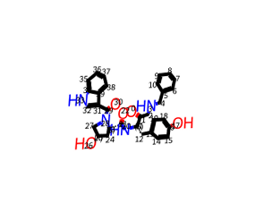 O=C(CNCc1ccccc1)[C@H](Cc1ccc(O)cc1)NC(=O)[C@@H]1C[C@@H](O)CN1C(=O)c1c[nH]c2ccccc12